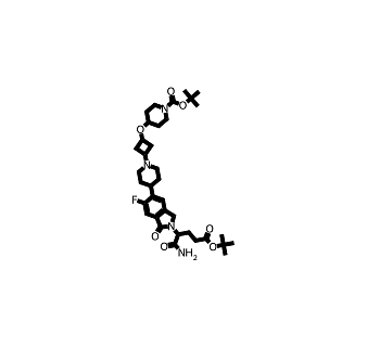 CC(C)(C)OC(=O)CCC(C(N)=O)N1Cc2cc(C3CCN(C4CC(OC5CCN(C(=O)OC(C)(C)C)CC5)C4)CC3)c(F)cc2C1=O